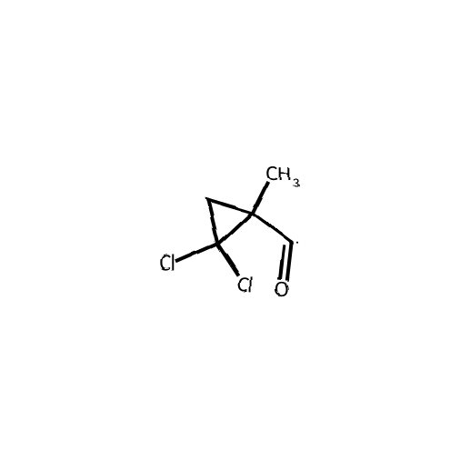 CC1([C]=O)CC1(Cl)Cl